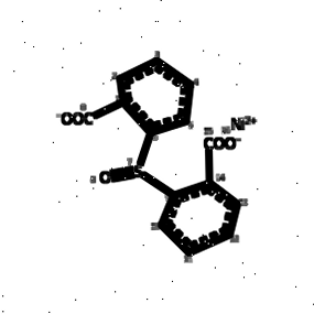 O=C([O-])c1ccccc1S(=O)c1ccccc1C(=O)[O-].[Ni+2]